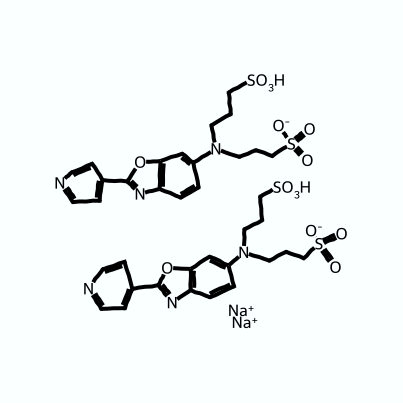 O=S(=O)([O-])CCCN(CCCS(=O)(=O)O)c1ccc2nc(-c3ccncc3)oc2c1.O=S(=O)([O-])CCCN(CCCS(=O)(=O)O)c1ccc2nc(-c3ccncc3)oc2c1.[Na+].[Na+]